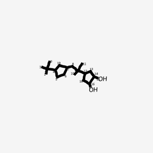 CC(C)(C)C1CCC(CC(C)(C)C2CC(O)C(O)C2)C1